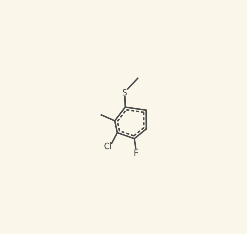 CSc1ccc(F)c(Cl)c1C